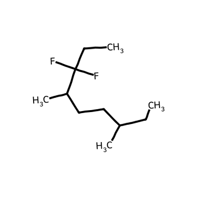 CCC(C)CCC(C)C(F)(F)CC